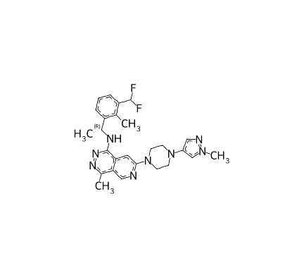 Cc1c(C(F)F)cccc1[C@@H](C)Nc1nnc(C)c2cnc(N3CCN(c4cnn(C)c4)CC3)cc12